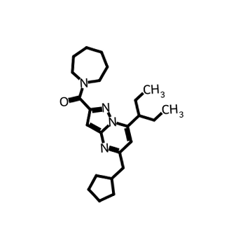 CCC(CC)c1cc(CC2CCCC2)nc2cc(C(=O)N3CCCCCC3)nn12